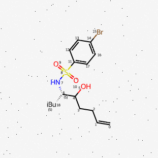 C=CCCC(O)[C@@H](NS(=O)(=O)c1ccc(Br)cc1)[C@@H](C)CC